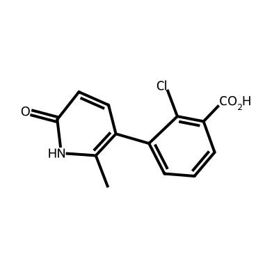 Cc1[nH]c(=O)ccc1-c1cccc(C(=O)O)c1Cl